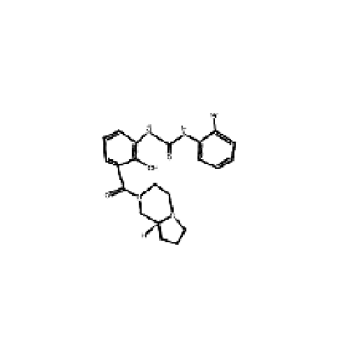 O=C(Nc1ccccc1Br)Nc1cccc(C(=O)N2CCN3CCC[C@@H]3C2)c1O